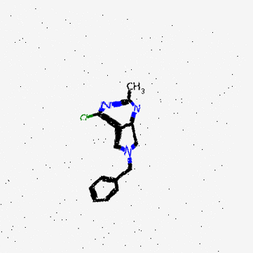 Cc1nc(Cl)c2c(n1)CN(Cc1ccccc1)C2